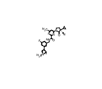 Cc1cc(N2CC[C@@](C#N)(C3CC3)C2=O)nc(C(=O)NCc2cc(F)cc(-c3cnn(C)c3)c2)n1